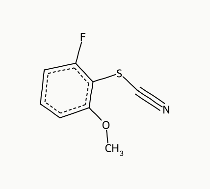 COc1cccc(F)c1SC#N